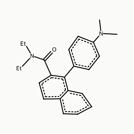 CCN(CC)C(=O)c1ccc2ccccc2c1-c1ccc(N(C)C)cc1